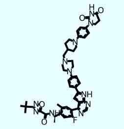 Cc1cc(-c2ncnc3[nH]c(-c4ccc(N5CCN(CC6CCN(c7ccc(N8CCC(=O)NC8=O)cc7)CC6)CC5)cc4)cc23)c(F)cc1[C@@H](C)NC(=O)c1nc(C(C)(C)C)no1